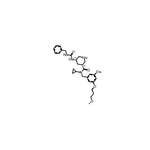 COCCCOc1cc(CN(C(=O)[C@@H]2CNC[C@H](NC(=O)NCc3ccccc3)C2)C2CC2)cc(OC)c1